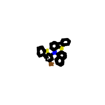 Brc1cc(N(c2cccc3ccccc23)c2cccc3c2sc2ccccc23)c2sc3ccccc3c2c1